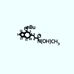 CCCCOc1cc(CCC(=O)N(C)O)ccc2cccc1-2